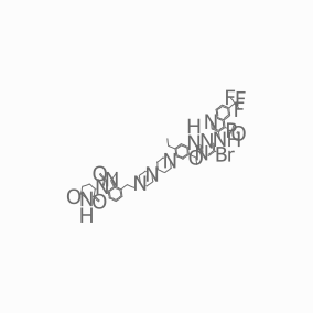 CCc1cc(Nc2ncc(Br)c(Nc3cnc4ccc(C(F)(F)F)cc4c3P(C)(C)=O)n2)c(OC)cc1N1CCC(N2CCN(CCc3cccc4c3n(C)c(=O)n4C3CCC(=O)NC3=O)CC2)CC1